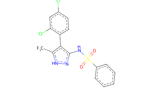 O=S(=O)(Nc1n[nH]c(C(F)(F)F)c1-c1ccc(Cl)cc1Cl)c1ccccc1